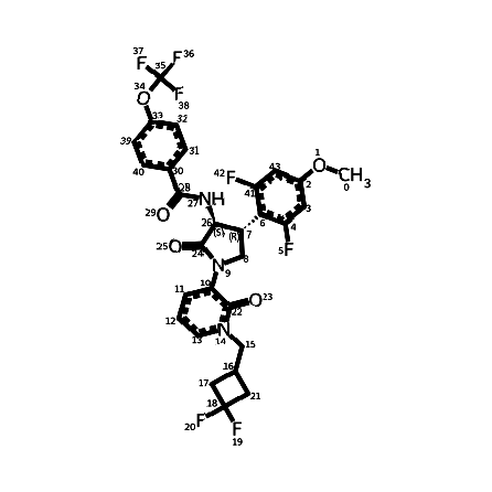 COc1cc(F)c([C@@H]2CN(c3cccn(CC4CC(F)(F)C4)c3=O)C(=O)[C@H]2NC(=O)c2ccc(OC(F)(F)F)cc2)c(F)c1